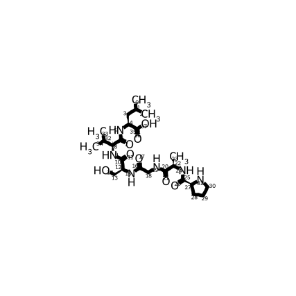 CC(C)C[C@H](NC(=O)[C@@H](NC(=O)[C@H](CO)NC(=O)CNC(=O)[C@H](C)NC(=O)[C@@H]1CCCN1)C(C)C)C(=O)O